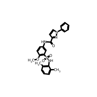 COc1ccc(NC(=O)c2ccn(-c3ccccc3)n2)cc1S(=O)(=O)Nc1c(C)cccc1C